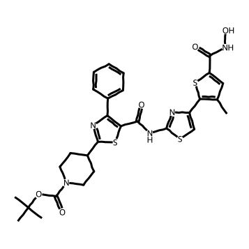 Cc1cc(C(=O)NO)sc1-c1csc(NC(=O)c2sc(C3CCN(C(=O)OC(C)(C)C)CC3)nc2-c2ccccc2)n1